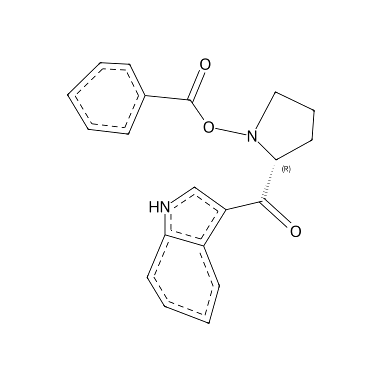 O=C(ON1CCC[C@@H]1C(=O)c1c[nH]c2ccccc12)c1ccccc1